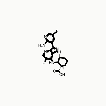 Nc1ncc(F)cc1-c1n[nH]c2c(NC3C(I)CCC[C@@H]3C(=O)O)c(F)cnc12